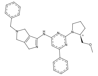 COC[C@@H]1CCCN1c1nc(NC2=NCC3=C2CN(Cc2ccccc2)C3)cc(-c2ccccc2)n1